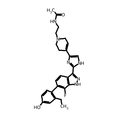 CCc1cc(O)ccc1-c1ccc2c(-c3nc(C4=CCN(CCNC(C)=O)CC4)c[nH]3)n[nH]c2c1F